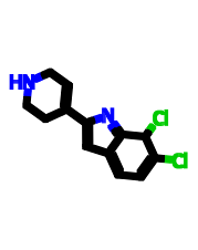 ClC1=CC=C2C=C(C3=CCNCC3)N=C2C1Cl